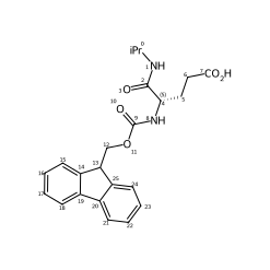 CC(C)NC(=O)[C@H](CCC(=O)O)NC(=O)OCC1c2ccccc2-c2ccccc21